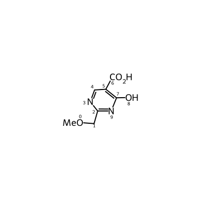 COCc1ncc(C(=O)O)c(O)n1